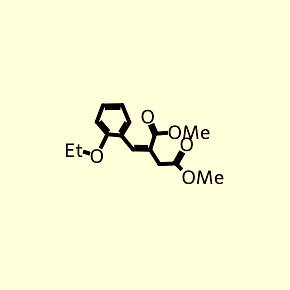 CCOc1ccccc1C=C(CC(=O)OC)C(=O)OC